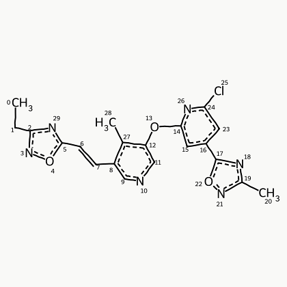 CCc1noc(/C=C/c2cncc(Oc3cc(-c4nc(C)no4)cc(Cl)n3)c2C)n1